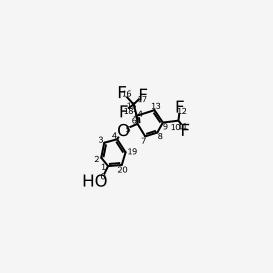 Oc1ccc(Oc2ccc(C(F)F)cc2C(F)(F)F)cc1